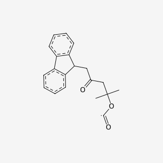 CC(C)(CC(=O)CC1c2ccccc2-c2ccccc21)O[C]=O